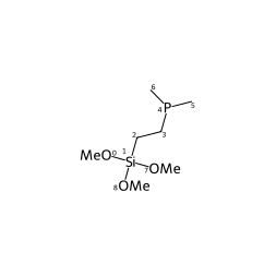 CO[Si](CCP(C)C)(OC)OC